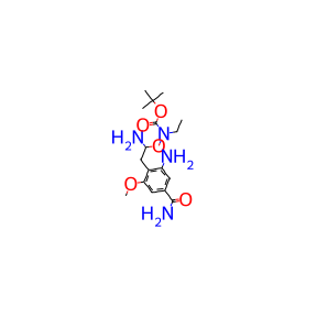 CCN(OC(N)Cc1c(N)cc(C(N)=O)cc1OC)C(=O)OC(C)(C)C